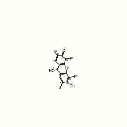 N#CC1C2=C(Oc3c1cc(I)c(O)c3I)C(I)C(=O)C(I)=C2